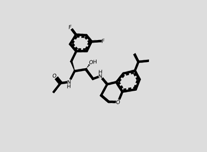 CC(=O)N[C@@H](Cc1cc(F)cc(F)c1)[C@H](O)CNC1CCOc2ccc(C(C)C)cc21